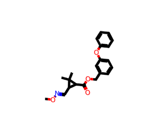 CON=CC1C(C(=O)OCc2cccc(Oc3ccccc3)c2)C1(C)C